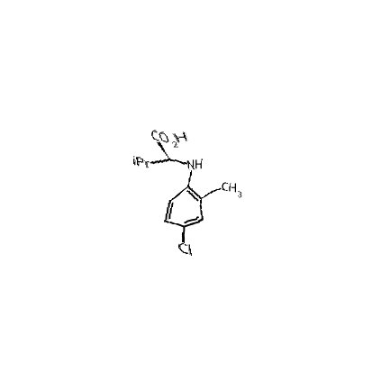 Cc1cc(Cl)ccc1N[C@H](C(=O)O)C(C)C